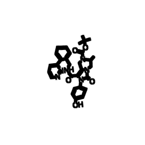 CC1Cn2c(c(C(=O)NCc3ccccc3-c3cccnn3)n(-c3ccc(O)cc3)c2=O)CN1C(=O)OC(C)(C)C